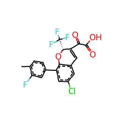 Cc1ccc(-c2cc(Cl)cc3c2O[C@H](C(F)(F)F)C(C(=O)C(=O)O)=C3)cc1F